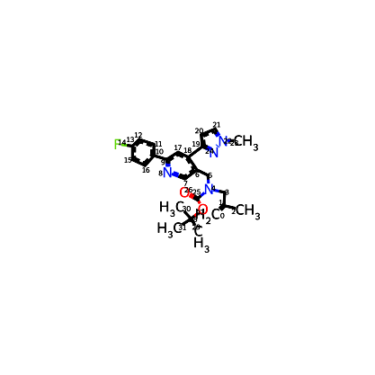 C=C(C)CN(Cc1cnc(-c2ccc(F)cc2)cc1-c1ccn(C)n1)C(=O)OC(C)(C)C